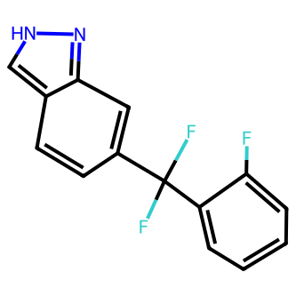 Fc1ccccc1C(F)(F)c1ccc2c[nH]nc2c1